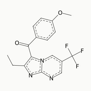 CCc1nc2ncc(C(F)(F)F)cn2c1C(=O)c1ccc(OC)cc1